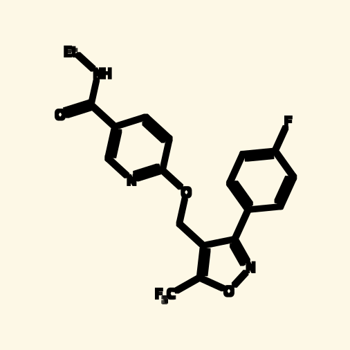 CCNC(=O)c1ccc(OCc2c(-c3ccc(F)cc3)noc2C(F)(F)F)nc1